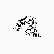 NC(=O)c1ccccc1-c1cccc(C(=O)c2ccc3ncc(N4CCCC4)nc3c2)c1